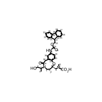 CC(CO)N1C[C@@H](C)[C@H](CN(C)C(=O)O)Oc2ccc(NC(=O)OCC3c4ccccc4-c4ccccc43)cc2CC1=O